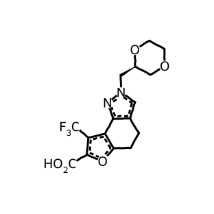 O=C(O)c1oc2c(c1C(F)(F)F)-c1nn(C[C@@H]3COCCO3)cc1CC2